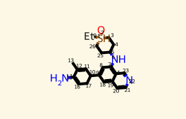 CC[SH]1(=O)CCC(Nc2cc(C3C=C(C)C(N)=CC3)cc3ccncc23)CC1